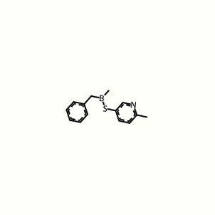 CB(Cc1ccccc1)Sc1ccc(C)nc1